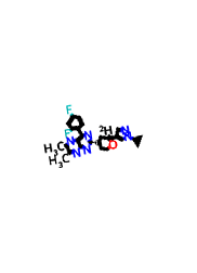 [2H][C@]1(c2cnn(C3CC3)c2)C[C@@H](c2nc(-c3ccc(F)cc3F)c3nc(C)c(C)nc3n2)CCO1